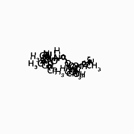 Cc1ncsc1-c1ccc(CNC(=O)[C@@H]2C[C@@H](O)CN2C(=O)[C@@H](NC(=O)COCCc2cccc(CNC(=O)C[C@@H]3N=C(c4ccc(Cl)cc4)c4c(sc(C)c4C)-n4c(C)nnc43)c2)C(C)(C)C)cc1